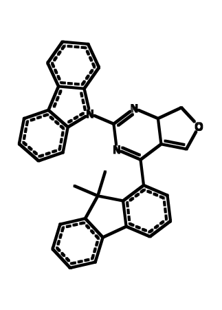 CC1(C)c2ccccc2-c2cccc(C3=NC(n4c5ccccc5c5ccccc54)=NC4COC=C34)c21